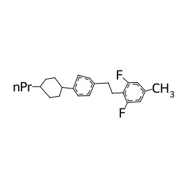 CCCC1CCC(c2ccc(CCc3c(F)cc(C)cc3F)cc2)CC1